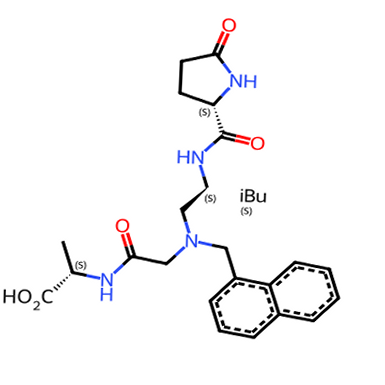 CC[C@H](C)[C@@H](CN(CC(=O)N[C@@H](C)C(=O)O)Cc1cccc2ccccc12)NC(=O)[C@@H]1CCC(=O)N1